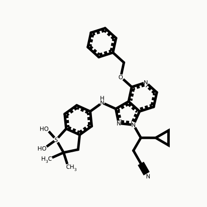 CC1(C)Cc2cc(Nc3nn(C(CC#N)C4CC4)c4ccnc(OCc5ccccc5)c34)ccc2S1(O)O